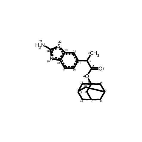 CC(C(=O)OC12CC3CC(CC(C3)C1)C2)c1ccc2nc(N)sc2c1